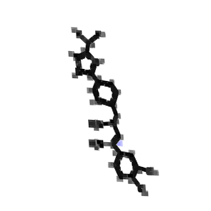 N/C(=C\N(N)Cc1ccc(-c2nnc(C(F)F)o2)cn1)c1ccc(Cl)c(Cl)c1